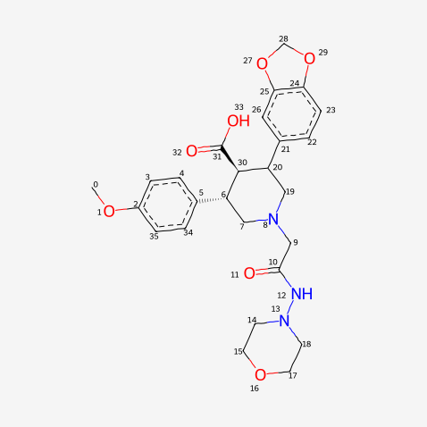 COc1ccc([C@H]2CN(CC(=O)NN3CCOCC3)CC(c3ccc4c(c3)OCO4)[C@@H]2C(=O)O)cc1